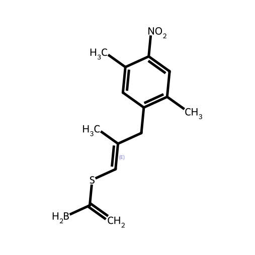 BC(=C)S/C=C(\C)Cc1cc(C)c([N+](=O)[O-])cc1C